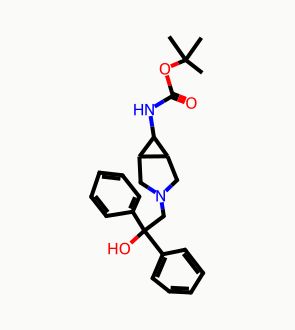 CC(C)(C)OC(=O)NC1C2CN(CC(O)(c3ccccc3)c3ccccc3)CC21